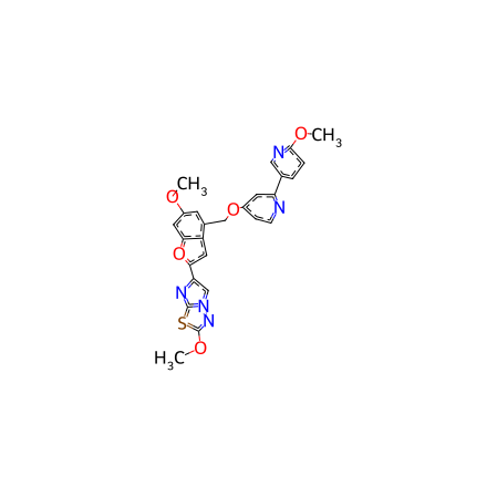 COc1cc(COc2ccnc(-c3ccc(OC)nc3)c2)c2cc(-c3cn4nc(OC)sc4n3)oc2c1